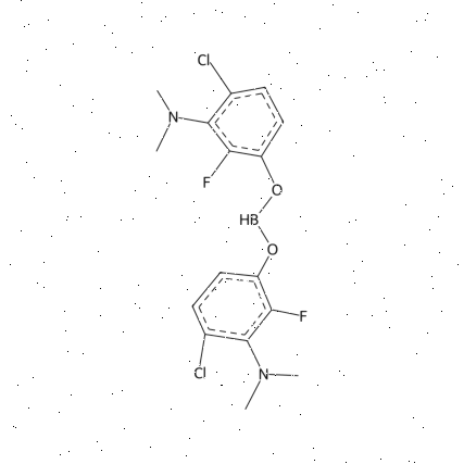 CN(C)c1c(Cl)ccc(OBOc2ccc(Cl)c(N(C)C)c2F)c1F